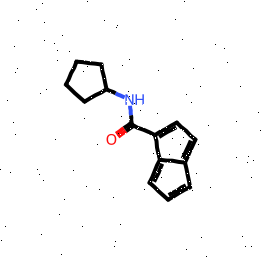 O=C(NC1CCCC1)C1=CC=C2C=CC=C21